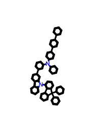 c1ccc(-c2ccc(-c3ccc(N(c4ccccc4)c4cccc(-c5ccc6c7ccccc7n(-c7cccc8c7-c7ccccc7C8(c7ccccc7)c7ccccc7)c6c5)c4)cc3)cc2)cc1